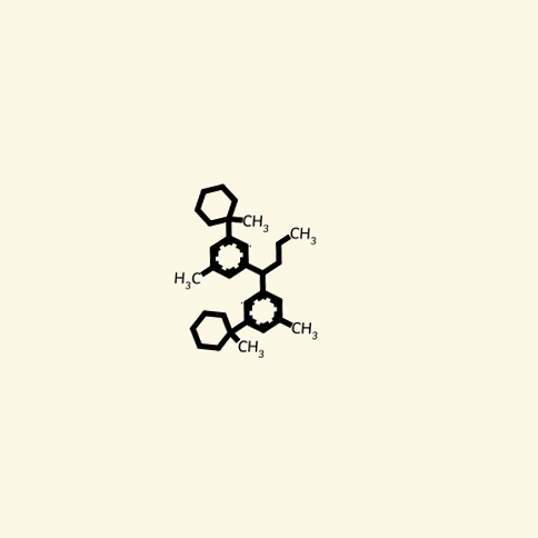 CCCC(c1[c]c(C2(C)CCCCC2)cc(C)c1)c1[c]c(C2(C)CCCCC2)cc(C)c1